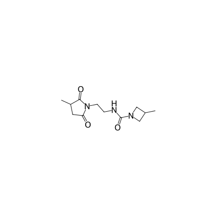 CC1CN(C(=O)NCCN2C(=O)CC(C)C2=O)C1